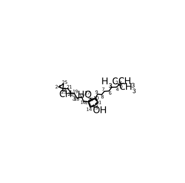 CC(C)(C)CCCCCCc1cc(O)cc(CCCCCCC2(C)CC2)c1O